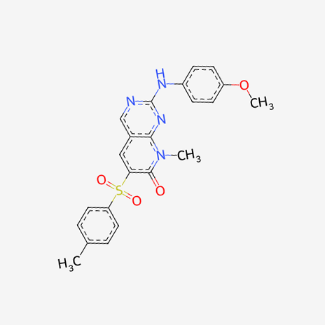 COc1ccc(Nc2ncc3cc(S(=O)(=O)c4ccc(C)cc4)c(=O)n(C)c3n2)cc1